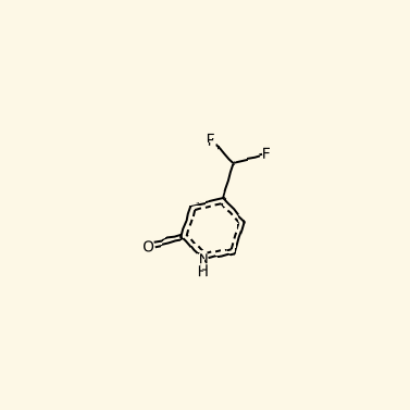 O=c1cc(C(F)F)cc[nH]1